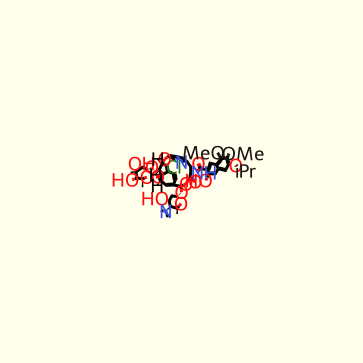 COc1c(OC(C)C)cc2cc(O)c(C(=O)NC3Cc4ccc(c(Cl)n4)O[C@@H]4C=C5C#CC(=C[C@@H]6OC56[C@@H]4O[C@H]4C[C@@](C)(O)C(O)[C@H](C)O4)C(O[C@H]4C[C@H](O)[C@H](N(C)C)[C@H](C)O4)OC3=O)cc2c1OC